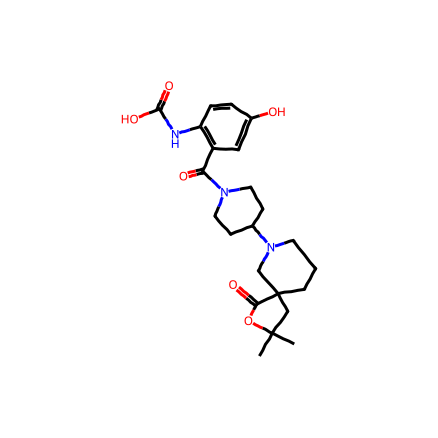 CC1(C)CC2(CCCN(C3CCN(C(=O)c4cc(O)ccc4NC(=O)O)CC3)C2)C(=O)O1